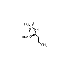 CCCC(=O)NS(=O)(=O)O.[NaH]